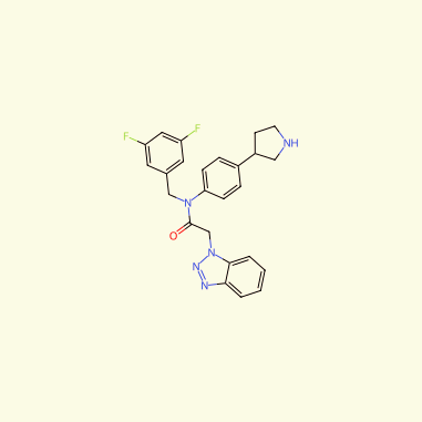 O=C(Cn1nnc2ccccc21)N(Cc1cc(F)cc(F)c1)c1ccc(C2CCNC2)cc1